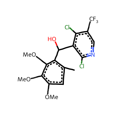 COc1cc(C)c(C(O)c2c(Cl)ncc(C(F)(F)F)c2Cl)c(OC)c1OC